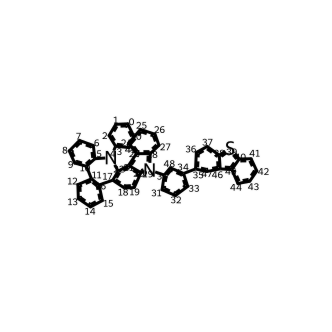 c1ccc(N2c3ccccc3-c3ccccc3-c3ccc4c(c32)c2ccccc2n4-c2cccc(-c3ccc4sc5ccccc5c4c3)c2)cc1